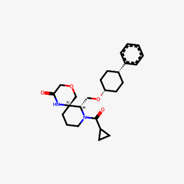 O=C1COC[C@@]2(CCCN(C(=O)C3CC3)[C@H]2CO[C@H]2CC[C@@H](c3ccccc3)CC2)N1